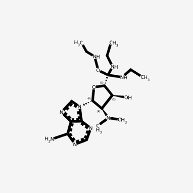 CCNOC(NCC)(NCC)[C@H]1O[C@@H](n2cnc3c(N)ncnc32)[C@H](N(C)C)[C@@H]1O